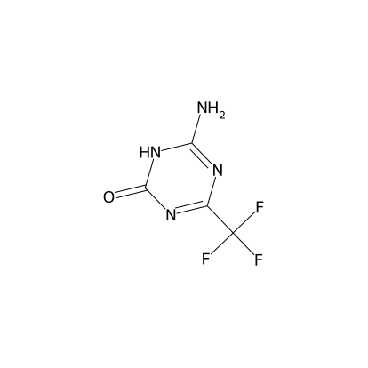 Nc1nc(C(F)(F)F)nc(=O)[nH]1